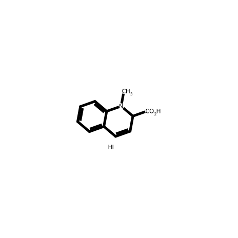 CN1c2ccccc2C=CC1C(=O)O.I